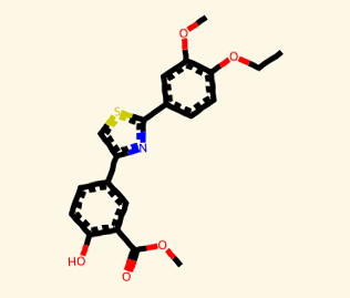 CCOc1ccc(-c2nc(-c3ccc(O)c(C(=O)OC)c3)cs2)cc1OC